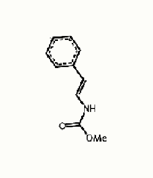 COC(=O)NC=Cc1cc[c]cc1